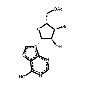 CC(=O)OC[C@H]1O[C@@H](n2cnc3c(O)ncnc32)[C@H](O)[C@@H]1Br